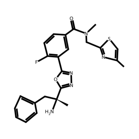 Cc1csc(CN(C)C(=O)c2ccc(F)c(-c3nnc([C@](C)(N)Cc4ccccc4)o3)c2)n1